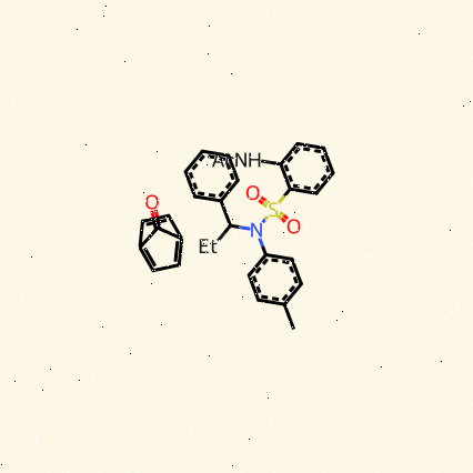 CCC(c1ccccc1)N(c1ccc(C)cc1)S(=O)(=O)c1ccccc1NC(C)=O.O=C1C2=CC=C1C=C2